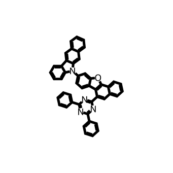 c1ccc(-c2nc(-c3ccccc3)nc(-c3cc4ccccc4c4oc5cc(-n6c7ccccc7c7cc8ccccc8cc76)ccc5c34)n2)cc1